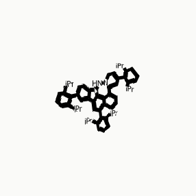 CC(C)c1cccc(C(C)C)c1C1=CCn2[nH]n3c4ccc(-c5c(C(C)C)cccc5C(C)C)cc4c4cc(-c5c(C(C)C)cccc5C(C)C)c5cccc(c2=C1)c5c43